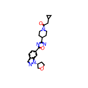 O=C(CC1CC1)N1CCC(c2noc(-c3ccc4cnn([C@@H]5CCOC5)c4c3)n2)CC1